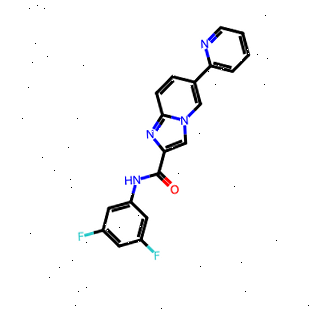 O=C(Nc1cc(F)cc(F)c1)c1cn2cc(-c3ccccn3)ccc2n1